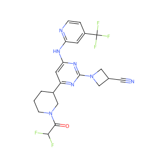 N#CC1CN(c2nc(Nc3cc(C(F)(F)F)ccn3)cc(C3CCCN(C(=O)C(F)F)C3)n2)C1